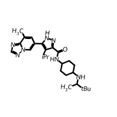 Cc1cc(-c2[nH]nc(C(=O)NC3CCC(NC(C)C(C)(C)C)CC3)c2C(C)C)cn2ncnc12